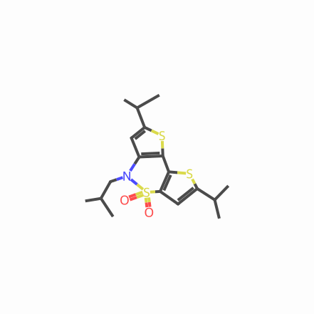 CC(C)CN1c2cc(C(C)C)sc2-c2sc(C(C)C)cc2S1(=O)=O